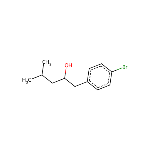 CC(C)CC(O)Cc1ccc(Br)cc1